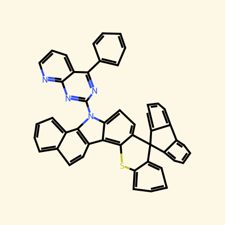 c1ccc(-c2nc(-n3c4ccc5c(c4c4ccc6ccccc6c43)Sc3ccccc3C53c4ccccc4-c4ccccc43)nc3ncccc23)cc1